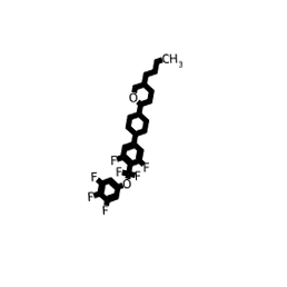 CCCCC1CCC(C2CCC(c3cc(F)c(C(F)(F)Oc4cc(F)c(F)c(F)c4)c(F)c3)CC2)OC1